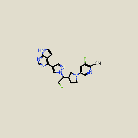 N#Cc1ncc(N2CCC(C(CF)n3cc(-c4ncnc5[nH]ccc45)cn3)C2)cc1F